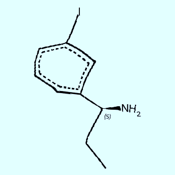 CC[C@H](N)c1cccc(I)c1